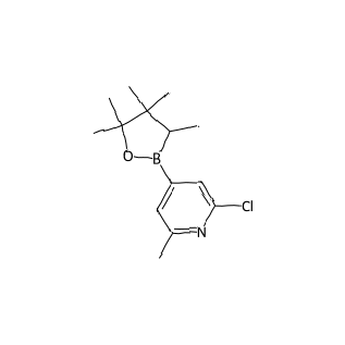 Cc1cc(B2OC(C)(C)C(C)(C)C2C)cc(Cl)n1